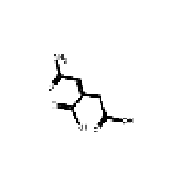 NC(=O)/C=C(/CC(=O)O)C(=O)O